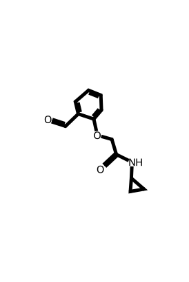 O=Cc1ccccc1OCC(=O)NC1CC1